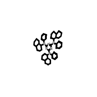 c1ccc(N(c2nc(N(c3ccccc3)C3CCCC4CCCCC43)nc(N(c3ccccc3)C3CCCC4CCCCC43)n2)C2CCCC3CCCCC32)cc1